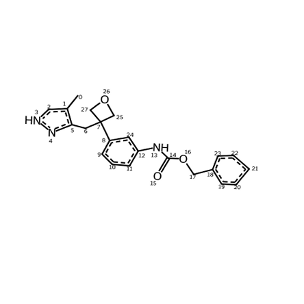 Cc1c[nH]nc1CC1(c2cccc(NC(=O)OCc3ccccc3)c2)COC1